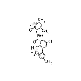 Cc1cc(-c2cc(Cl)cc(C(=O)NCc3c(C)cc(C)[nH]c3=O)c2C)n(C)n1